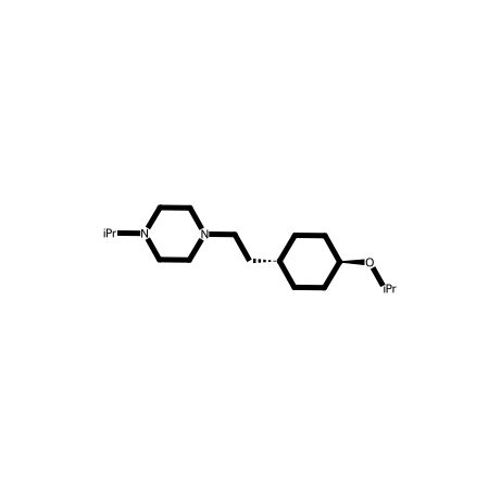 CC(C)O[C@H]1CC[C@H](CCN2CCN(C(C)C)CC2)CC1